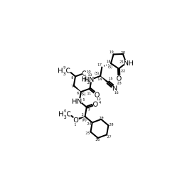 CO[C@@H](C(=O)N[C@@H](CC(C)C)C(=O)N[C@H](C#N)C[C@@H]1CCNC1=O)C1CCCCC1